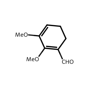 COC1=CCCC(C=O)=C1OC